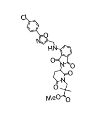 COC(=O)C(C)(C)CN1C(=O)CCC(N2C(=O)c3cccc(NCc4cnc(-c5ccc(Cl)cc5)o4)c3C2=O)C1=O